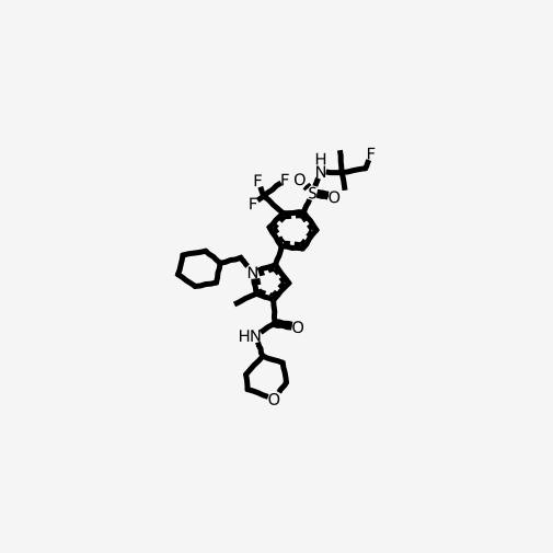 Cc1c(C(=O)NC2CCOCC2)cc(-c2ccc(S(=O)(=O)NC(C)(C)CF)c(C(F)(F)F)c2)n1CC1CCCCC1